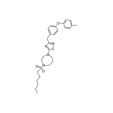 CCCCCCS(=O)(=O)N1CCCN(c2nc(Cc3ccc(Oc4ccc(C)cc4)cc3)ns2)CC1